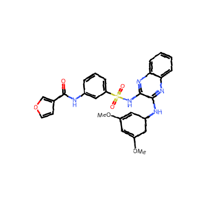 COC1=CC(Nc2nc3ccccc3nc2NS(=O)(=O)c2cccc(NC(=O)c3ccoc3)c2)CC(OC)=C1